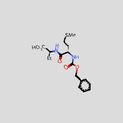 CC[C@H](NC(=O)[C@H](CCSC)NC(=O)OCc1ccccc1)C(=O)O